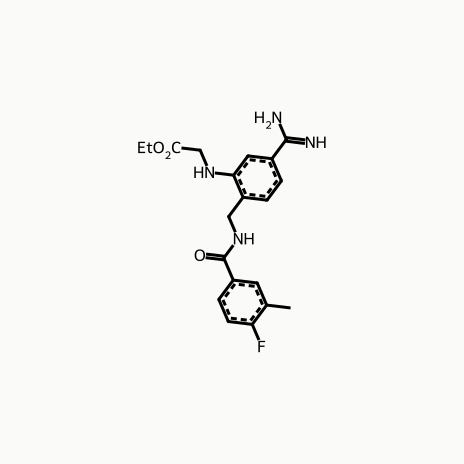 CCOC(=O)CNc1cc(C(=N)N)ccc1CNC(=O)c1ccc(F)c(C)c1